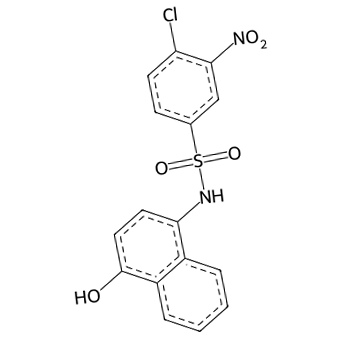 O=[N+]([O-])c1cc(S(=O)(=O)Nc2ccc(O)c3ccccc23)ccc1Cl